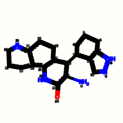 Nc1c(-c2cccc3[nH]ncc23)c2ccc3ncccc3c2[nH]c1=O